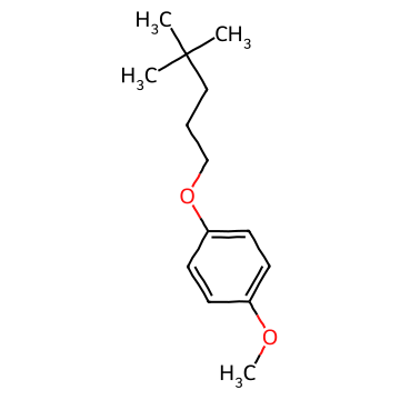 COc1ccc(OCCCC(C)(C)C)cc1